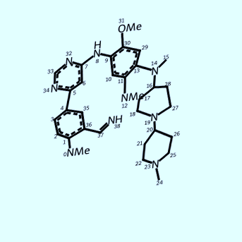 CNc1ccc(-c2cc(Nc3cc(NC)c(N(C)C4CCN(C5CCN(C)CC5)CC4)cc3OC)ncn2)cc1C=N